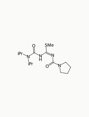 CSC(=NC(=O)N1CCCC1)NC(=O)N(C(C)C)C(C)C